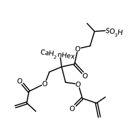 C=C(C)C(=O)OCC(CCCCCC)(COC(=O)C(=C)C)C(=O)OCC(C)S(=O)(=O)O.[CaH2]